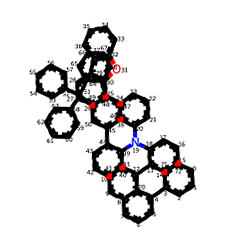 c1ccc(-c2cccc3cccc(-c4ccccc4N(c4cccc(-c5cccc6c5oc5ccccc56)c4)c4ccccc4-c4ccc5c(c4)C(c4ccccc4)(c4ccccc4)c4ccccc4-5)c23)cc1